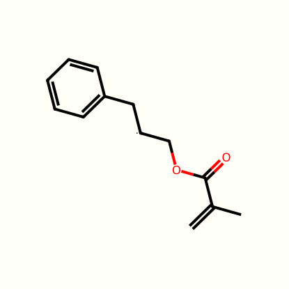 C=C(C)C(=O)OC[CH]Cc1ccccc1